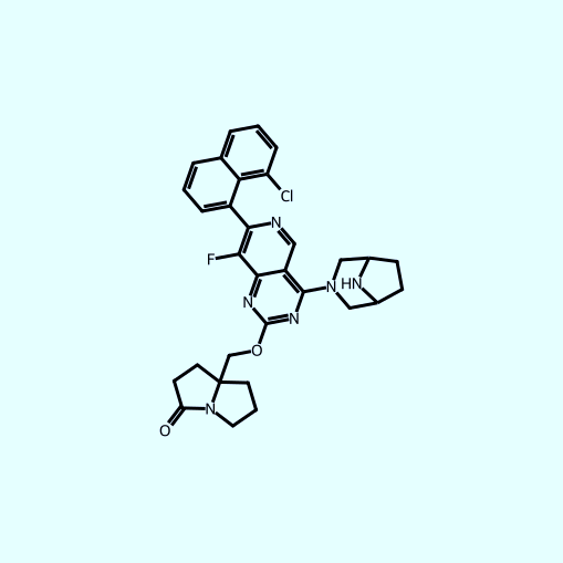 O=C1CCC2(COc3nc(N4CC5CCC(C4)N5)c4cnc(-c5cccc6cccc(Cl)c56)c(F)c4n3)CCCN12